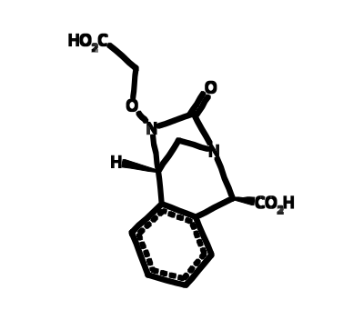 O=C(O)CON1C(=O)N2C[C@@H]1c1ccccc1[C@@H]2C(=O)O